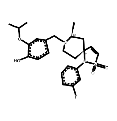 CC(C)Oc1cc(CN2CC[C@]3(C=CS(=O)(=O)N3c3cccc(F)c3)C[C@@H]2C)ccc1O